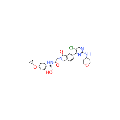 O=C(CN1Cc2ccc(-c3nc(NC4CCOCC4)ncc3Cl)cc2C1=O)N[C@H](CO)c1ccc(OC2CC2)cc1